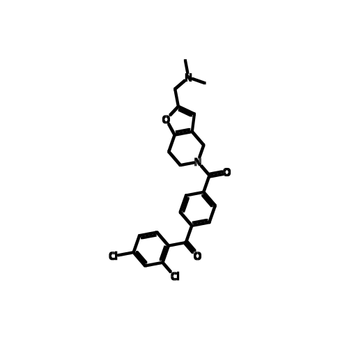 CN(C)Cc1cc2c(o1)CCN(C(=O)c1ccc(C(=O)c3ccc(Cl)cc3Cl)cc1)C2